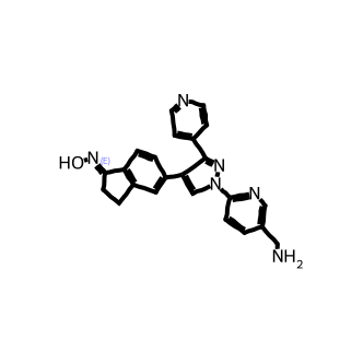 NCc1ccc(-n2cc(-c3ccc4c(c3)CC/C4=N\O)c(-c3ccncc3)n2)nc1